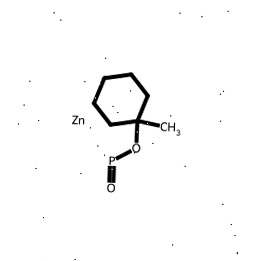 CC1(OP=O)CCCCC1.[Zn]